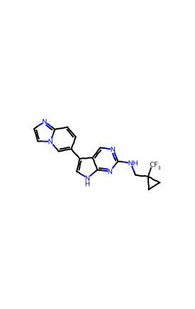 FC(F)(F)C1(CNc2ncc3c(-c4ccc5nccn5c4)c[nH]c3n2)CC1